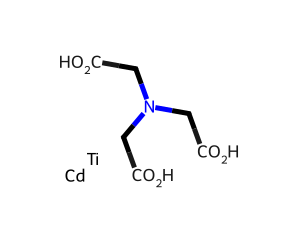 O=C(O)CN(CC(=O)O)CC(=O)O.[Cd].[Ti]